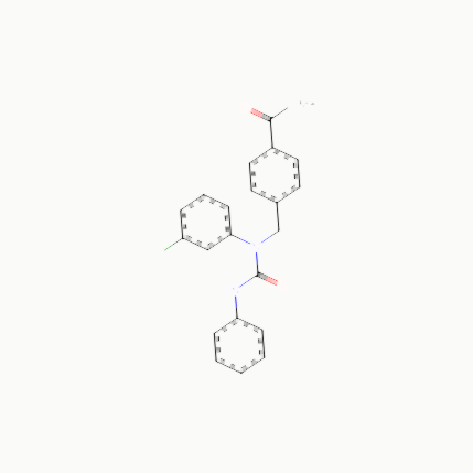 COC(=O)c1ccc(CN(C(=O)Nc2ccccc2)c2cccc(F)c2)cc1